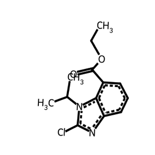 CCOC(=O)c1cccc2nc(Cl)n(C(C)C)c12